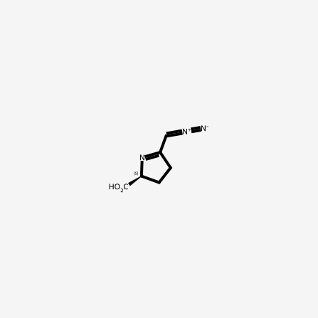 [N-]=[N+]=CC1=N[C@H](C(=O)O)CC1